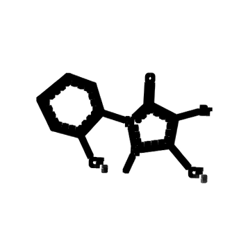 Cn1c(C(F)(F)F)c(Br)c(=O)n1-c1ccccc1C(F)(F)F